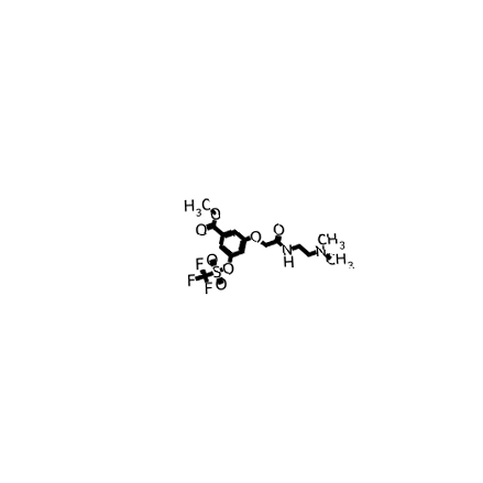 COC(=O)c1cc(OCC(=O)NCCN(C)C)cc(OS(=O)(=O)C(F)(F)F)c1